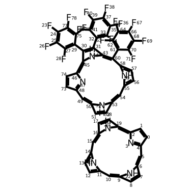 C1=Cc2nc1cc1ccc(cc3ccc(cc4ccc2[nH]4)[nH]3)[nH]1.Fc1c(F)c(F)c(-c2c(-c3c(F)c(F)c(F)c(F)c3F)c3[nH]c2c2nc(cc4ccc(cc5ccc([nH]5)c3-c3c(F)c(F)c(F)c(F)c3F)[nH]4)C=C2)c(F)c1F